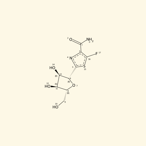 NC(=O)c1nc([C@@H]2O[C@H](CO)[C@@H](O)[C@H]2O)sc1F